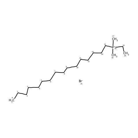 CCCCCCCCCCCCCCCC[P+](C)(C)CC.[Br-]